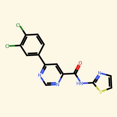 O=C(Nc1nccs1)c1cc(-c2ccc(Cl)c(Cl)c2)ncn1